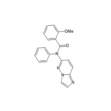 COc1ccccc1C(=O)N(c1ccccc1)c1ccc2nccn2n1